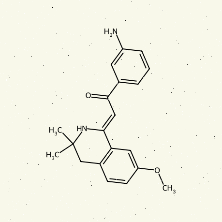 COc1ccc2c(c1)C(=CC(=O)c1cccc(N)c1)NC(C)(C)C2